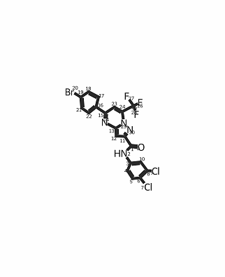 O=C(Nc1ccc(Cl)c(Cl)c1)c1cc2nc(-c3ccc(Br)cc3)cc(C(F)(F)F)n2n1